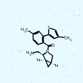 Cc1csc(-c2cc(C)ccc2C(=O)N2C[C@H]3C[C@H]3[C@H]2CN)c1